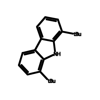 CC(C)(C)c1cccc2c1[nH]c1c(C(C)(C)C)cccc12